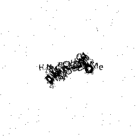 COC(=O)[C@H](C)NP(=O)(OC[C@H]1O[C@@H](n2cnc3c(NC4CCCC4)nc(N)nc32)[C@](C)(F)[C@@H]1O)Oc1ccccc1